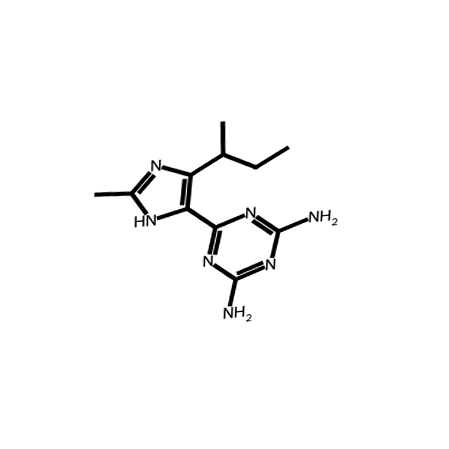 CCC(C)c1nc(C)[nH]c1-c1nc(N)nc(N)n1